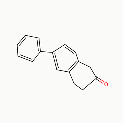 O=C1CCc2cc(-c3ccccc3)ccc2C1